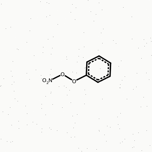 O=[N+]([O-])OOc1ccccc1